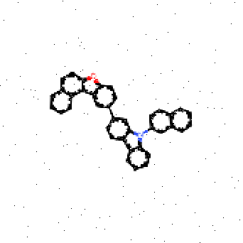 c1ccc2cc(-n3c4ccccc4c4ccc(-c5ccc6oc7ccc8ccccc8c7c6c5)cc43)ccc2c1